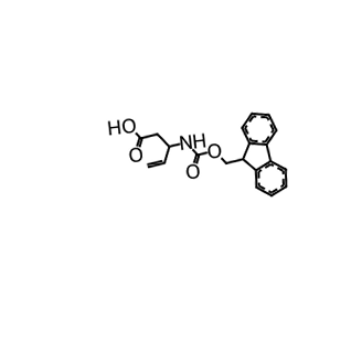 C=CC(CC(=O)O)NC(=O)OCC1c2ccccc2-c2ccccc21